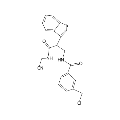 N#CCNC(=O)C(CNC(=O)c1cccc(CCl)c1)c1csc2ccccc12